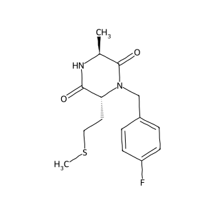 CSCC[C@@H]1C(=O)N[C@@H](C)C(=O)N1Cc1ccc(F)cc1